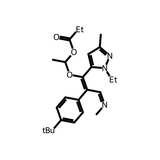 CCC(=O)OC(C)O/C(=C(/C=N\C)c1ccc(C(C)(C)C)cc1)c1cc(C)nn1CC